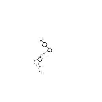 COCC(=O)C1NCCc2cc(NC(=O)Oc3ccccc3-c3ccc(C(F)(F)F)cc3)ccc21